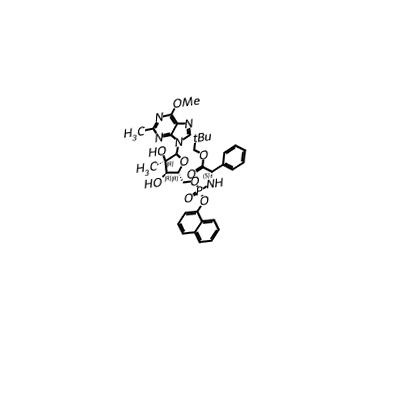 COc1nc(C)nc2c1ncn2C1O[C@H](COP(=O)(N[C@H](C(=O)OCC(C)(C)C)c2ccccc2)Oc2cccc3ccccc23)[C@@H](O)[C@@]1(C)O